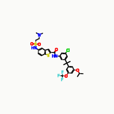 CC(C)Oc1cc(OC(F)(F)F)cc(C(C)(C)c2cc(Cl)cc(NC(=O)c3cc4cc(NS(=O)(=O)CCN(C)C)ccc4s3)c2)c1